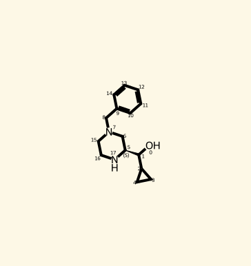 OC(C1CC1)[C@@H]1CN(Cc2ccccc2)CCN1